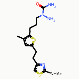 CC(=O)Nc1nc(CCc2cc(C)c(CCCN(N)C(N)=O)s2)cs1